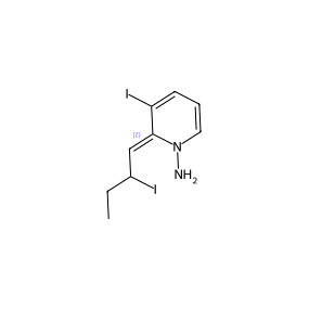 CCC(I)/C=C1/C(I)=CC=CN1N